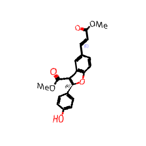 COC(=O)/C=C/c1ccc2c(c1)C(C(=O)OC)[C@H](c1ccc(O)cc1)O2